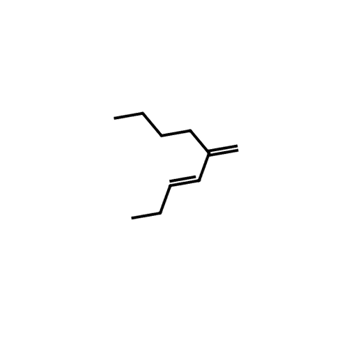 C=C(C=CCC)CCCC